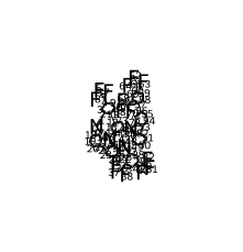 N#Cc1cc(C(F)(F)F)ccc1-c1cc(-n2c3ccccc3c3ccc(-c4ccc(C(F)(F)F)cc4C(F)(F)F)cc32)c(C#N)c(-n2c3ccccc3c3ccc(-c4ccc(C(F)(F)F)cc4C(F)(F)F)cc32)c1